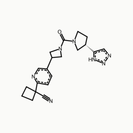 N#CC1(c2ccc(C3CN(C(=O)N4CC[C@H](c5cnn[nH]5)C4)C3)cn2)CCC1